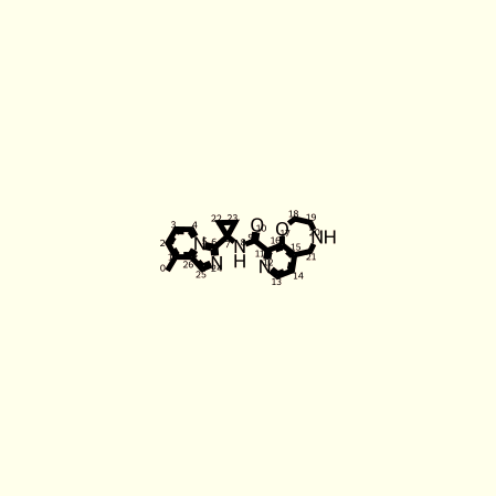 Cc1cccn2c(C3(NC(=O)c4nccc5c4OCCNC5)CC3)ncc12